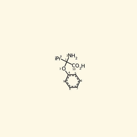 CC(C)C(N)(Oc1ccccc1)C(=O)O